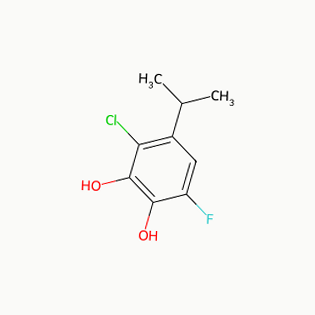 CC(C)c1cc(F)c(O)c(O)c1Cl